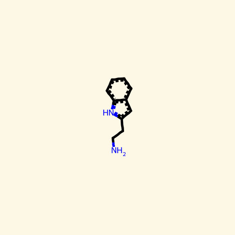 NCCc1cc2ccccc2[nH]1